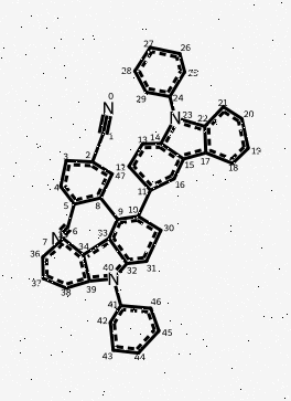 N#Cc1ccc(C#N)c(-c2c(-c3ccc4c(c3)c3ccccc3n4-c3ccccc3)ccc3c2c2ccccc2n3-c2ccccc2)c1